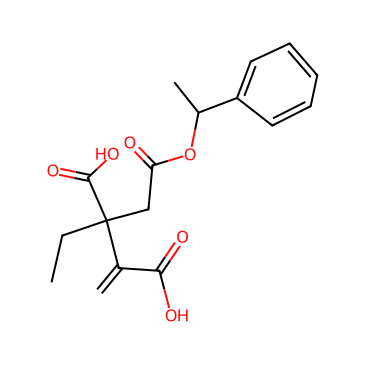 C=C(C(=O)O)C(CC)(CC(=O)OC(C)c1ccccc1)C(=O)O